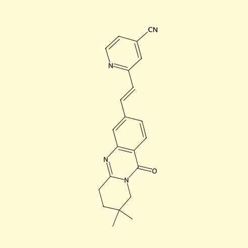 CC1(C)CCc2nc3cc(/C=C/c4cc(C#N)ccn4)ccc3c(=O)n2C1